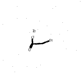 CCCC(=O)Cl.[Zr]